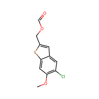 COc1cc2sc(CO[C]=O)cc2cc1Cl